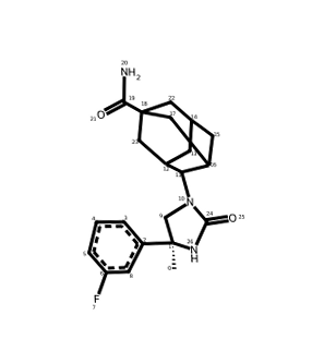 C[C@]1(c2cccc(F)c2)CN(C2C3CC4CC2CC(C(N)=O)(C4)C3)C(=O)N1